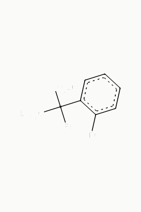 CCOC(=O)C(CC)(C(=O)OCC)c1ccccc1CC